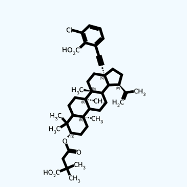 C=C(C)[C@@H]1CC[C@]2(C#Cc3cccc(Cl)c3C(=O)O)CC[C@]3(C)C(CCC4[C@@]5(C)CC[C@H](OC(=O)CC(C)(C)C(=O)O)C(C)(C)C5CC[C@]43C)C12